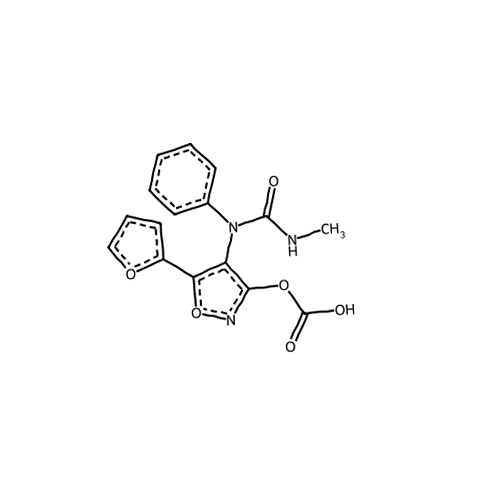 CNC(=O)N(c1ccccc1)c1c(OC(=O)O)noc1-c1ccco1